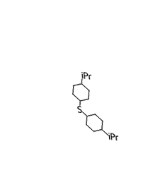 CC(C)C1CCC(SC2CCC(C(C)C)CC2)CC1